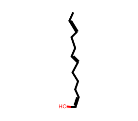 CC=CCCC=CCCC/C=C\O